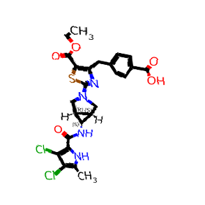 CCOC(=O)c1sc(N2C[C@@H]3[C@H](C2)[C@H]3NC(=O)c2[nH]c(C)c(Cl)c2Cl)nc1Cc1ccc(C(=O)O)cc1